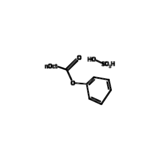 CCCCCCCCC(=O)Oc1ccccc1.O=S(=O)(O)O